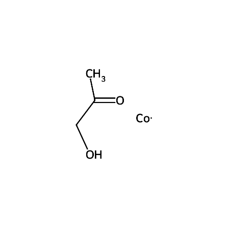 CC(=O)CO.[Co]